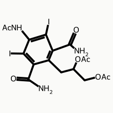 CC(=O)Nc1c(I)c(C(N)=O)c(CC(COC(C)=O)OC(C)=O)c(C(N)=O)c1I